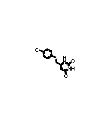 O=c1cc(CSc2ccc(Cl)cc2)[nH]c(=O)[nH]1